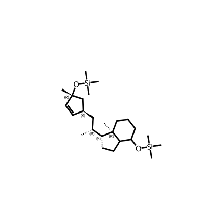 C[C@H](C[C@H]1C=C[C@](C)(O[Si](C)(C)C)C1)[C@H]1CCC2C(O[Si](C)(C)C)CCC[C@@]21C